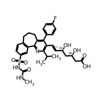 CNC(=O)NS(=O)(=O)c1ccc2c(c1)-c1nc(C(C)C)c(/C=C/[C@@H](O)C[C@@H](O)CC(=O)O)c(-c3ccc(F)cc3)c1CCC2